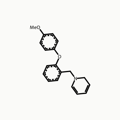 COc1ccc(Oc2ccccc2CN2C=CC=CC2)cc1